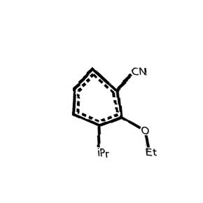 [CH2]C(C)c1cccc(C#N)c1OCC